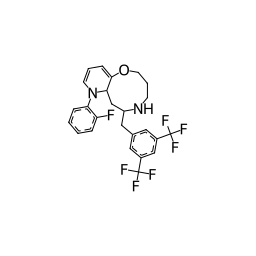 Fc1ccccc1N1C=CC=C2OCCCNC(Cc3cc(C(F)(F)F)cc(C(F)(F)F)c3)CC21